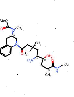 CCCCNC(=O)[C@H](C)C[C@H](O)[C@@H](N)CC(C)(C)CC(=O)N1C[C@H](N(C)C(=O)OC)Cc2ccccc21